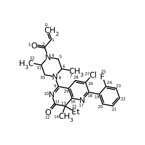 C=CC(=O)N1CC(C)N(C2=NC(=O)C(C)(CC)c3nc(-c4ccccc4F)c(Cl)cc32)CC1C